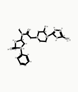 CN(C(=O)CN1CCN(c2nnc(N)s2)C(F)C1)C1CN(c2ccccc2)C(=O)O1